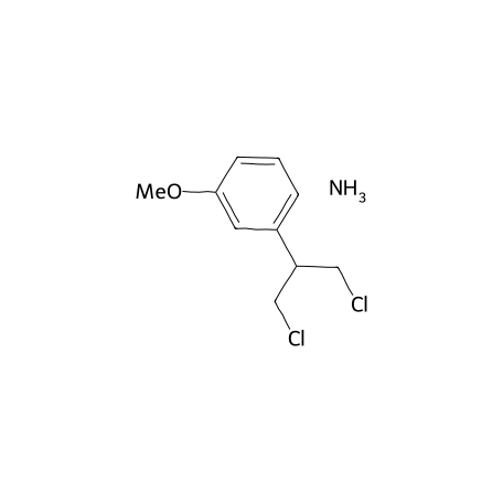 COc1cccc(C(CCl)CCl)c1.N